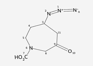 [N-]=[N+]=NC1CCN(C(=O)O)CC(=O)C1